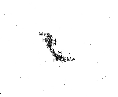 CSc1ccc2c(c1)NC(c1ccc(OCCOCCOC3=CNC(C4Nc5ccc(SC)cc5N4)C=C3)cn1)N2